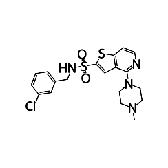 CN1CCN(c2nccc3sc(S(=O)(=O)NCc4cccc(Cl)c4)cc23)CC1